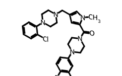 Cn1cc(CN2CCN(c3ccccc3Cl)CC2)cc1C(=O)N1CCN(c2ccc(F)c(F)c2)CC1